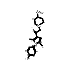 COC1CCN(CC(=O)c2cc(C)n(-c3ccc(Cl)cc3)c2C)CC1